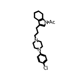 CC(=O)n1cc(CCCN2CCN(c3ccc(Cl)cc3)CC2)c2c1CCCC2